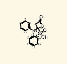 O=C1CC(N(c2ccccc2)c2ccccc2)(S(=O)(=O)O)O1